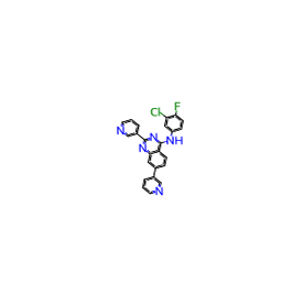 Fc1ccc(Nc2nc(-c3cccnc3)nc3cc(-c4cccnc4)ccc23)cc1Cl